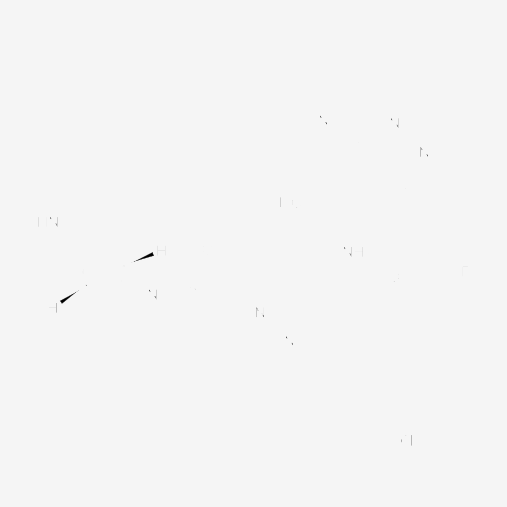 O=C(Cn1cc(NC(O)c2cnn3cccnc23)c(-c2cc(Cl)ccc2OC(F)F)n1)N1CC[C@@H]2CNCC[C@@H]21